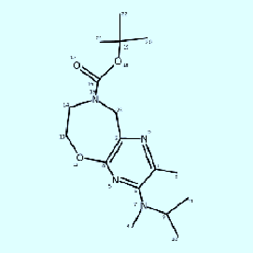 Cc1nc2c(nc1N(C)C(C)C)OCCN(C(=O)OC(C)(C)C)C2